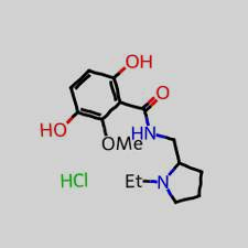 CCN1CCCC1CNC(=O)c1c(O)ccc(O)c1OC.Cl